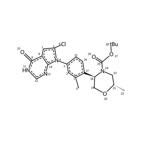 Cc1cc(-n2c(Cl)cc3c(=O)[nH]cnc32)ccc1[C@@H]1CO[C@@H](C)CN1C(=O)OC(C)(C)C